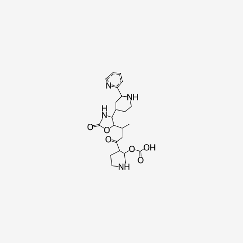 CC(CC(=O)C1CCNCC1OC(=O)O)C1OC(=O)NC1C1CCNC(c2ccccn2)C1